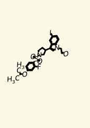 CC(C)Oc1ccc(S(=O)(=O)N2CCC(c3cn(CC=O)c4ccc(I)cc34)C2)c(F)c1